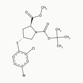 COC(=O)[C@@H]1C[C@@H](Sc2ccc(Br)cc2Cl)CN1C(=O)OC(C)(C)C